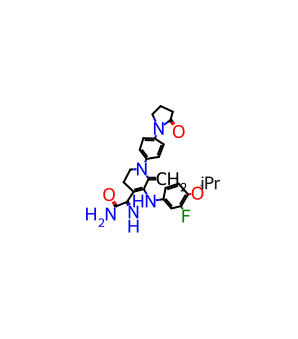 C=C1C(Nc2ccc(OC(C)C)c(F)c2)=C(C(=N)C(N)=O)CCN1c1ccc(N2CCCC2=O)cc1